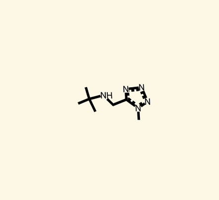 Cn1nnnc1CNC(C)(C)C